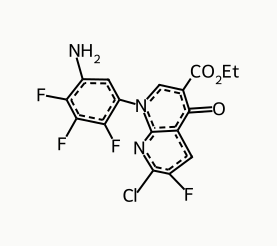 CCOC(=O)c1cn(-c2cc(N)c(F)c(F)c2F)c2nc(Cl)c(F)cc2c1=O